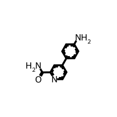 NC(=O)c1cc(-c2ccc(N)cc2)ccn1